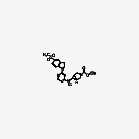 CCN(c1cc(N2CCc3cc(S(C)(=O)=O)ccc32)ncn1)C1C2CN(C(=O)OC(C)(C)C)C[C@H]21